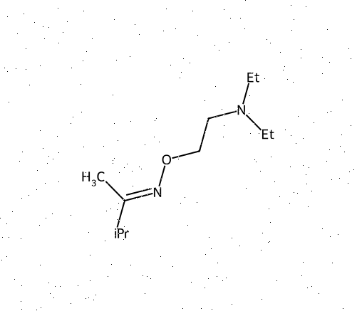 CCN(CC)CCO/N=C(\C)C(C)C